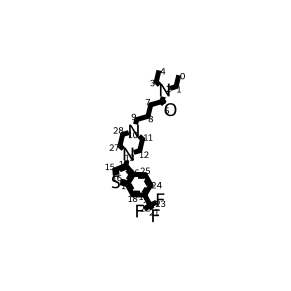 CCN(CC)C(=O)CCCN1CCN(c2csc3cc(C(F)(F)F)ccc23)CC1